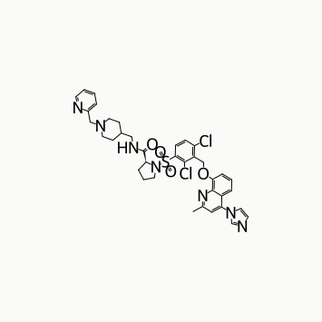 Cc1cc(-n2ccnc2)c2cccc(OCc3c(Cl)ccc(S(=O)(=O)N4CCC[C@H]4C(=O)NCC4CCN(Cc5ccccn5)CC4)c3Cl)c2n1